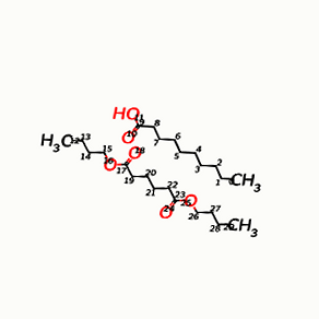 CCCCCCCCCC(=O)O.CCCCOC(=O)CCCCC(=O)OCCCC